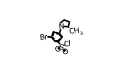 C[C@@H]1CCCN1c1cc(Br)cc(S(=O)(=O)Cl)c1